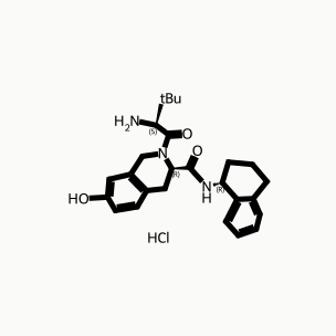 CC(C)(C)[C@H](N)C(=O)N1Cc2cc(O)ccc2C[C@@H]1C(=O)N[C@@H]1CCCc2ccccc21.Cl